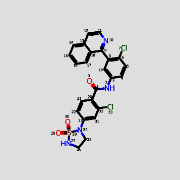 O=C(Nc1ccc(Cl)c(-c2nccc3ccccc23)c1)c1ccc(N2CCNS2(=O)=O)cc1Cl